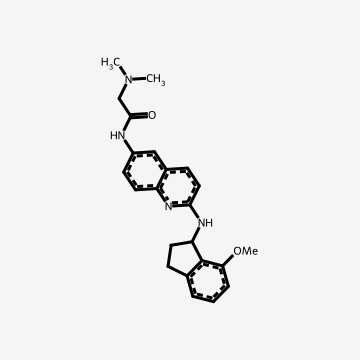 COc1cccc2c1C(Nc1ccc3cc(NC(=O)CN(C)C)ccc3n1)CC2